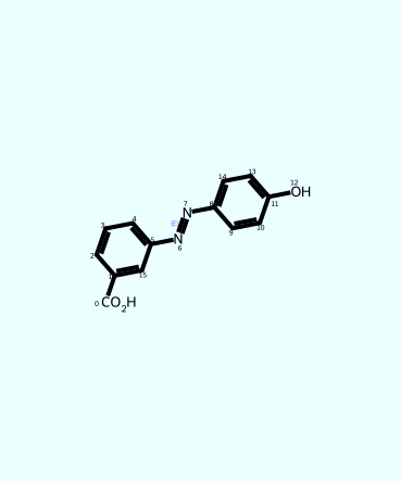 O=C(O)c1cccc(/N=N/c2ccc(O)cc2)c1